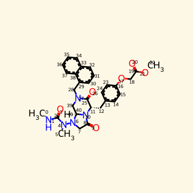 CNC(=O)N(C)N1CC(=O)N2[C@@H](Cc3ccc(OCC(=O)OC)cc3)C(=O)N(Cc3cccc4ccccc34)C[C@@H]21